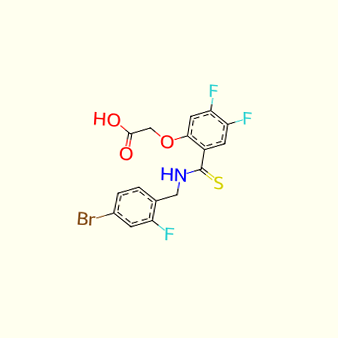 O=C(O)COc1cc(F)c(F)cc1C(=S)NCc1ccc(Br)cc1F